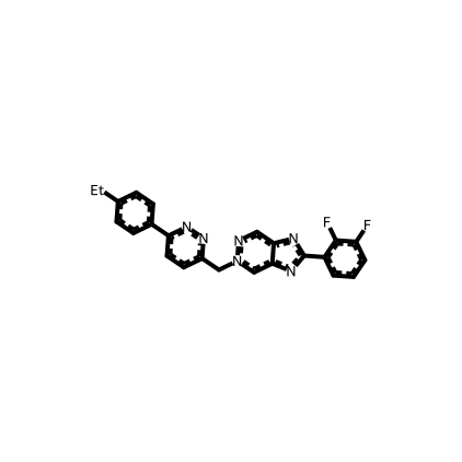 CCc1ccc(-c2ccc(Cn3cc4nc(-c5cccc(F)c5F)nc-4cn3)nn2)cc1